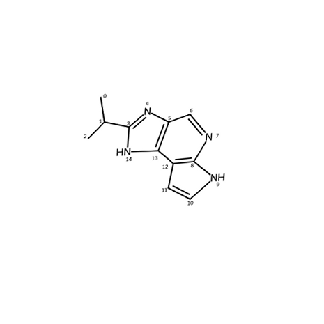 CC(C)c1nc2cnc3[nH]ccc3c2[nH]1